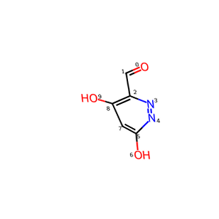 O=Cc1nnc(O)cc1O